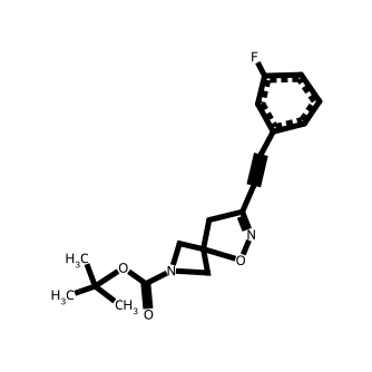 CC(C)(C)OC(=O)N1CC2(CC(C#Cc3cccc(F)c3)=NO2)C1